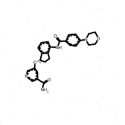 NC(=O)c1cncc(O[C@H]2CCc3c(NC(=O)c4ccc(N5CCOCC5)cc4)cccc32)c1